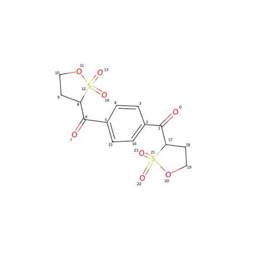 O=C(c1ccc(C(=O)C2CCOS2(=O)=O)cc1)C1CCOS1(=O)=O